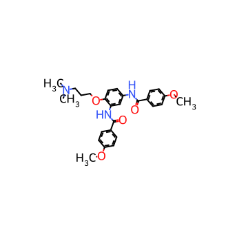 COc1ccc(C(=O)Nc2ccc(OCCCN(C)C)c(NC(=O)c3ccc(OC)cc3)c2)cc1